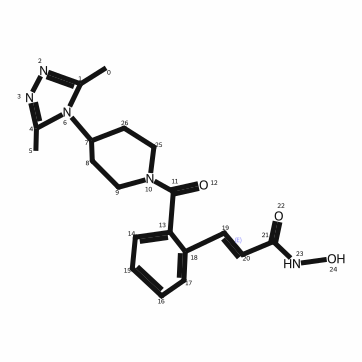 Cc1nnc(C)n1C1CCN(C(=O)c2ccccc2/C=C/C(=O)NO)CC1